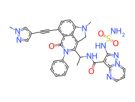 CC(NC(=O)c1c(NS(N)(=O)=O)nn2cccnc12)c1c2c3c(ccc(C#Cc4cnn(C)c4)c3c(=O)n1-c1ccccc1)N(C)C2